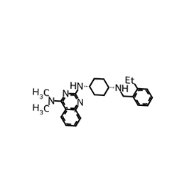 CCc1ccccc1CN[C@H]1CC[C@@H](Nc2nc(N(C)C)c3ccccc3n2)CC1